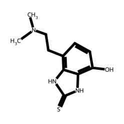 CN(C)CCc1ccc(O)c2[nH]c(=S)[nH]c12